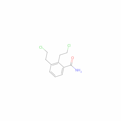 NC(=O)c1cccc(CCCl)c1CCCl